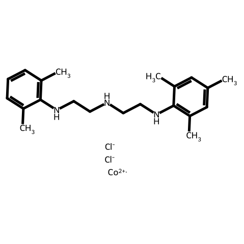 Cc1cc(C)c(NCCNCCNc2c(C)cccc2C)c(C)c1.[Cl-].[Cl-].[Co+2]